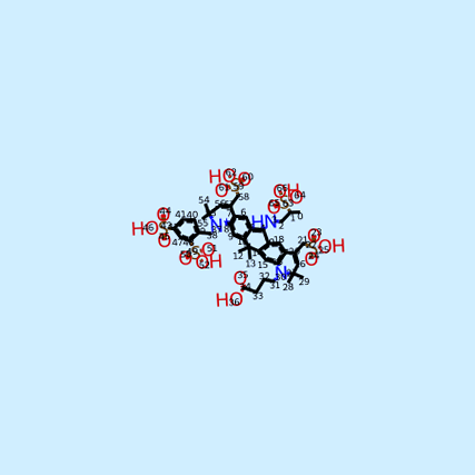 CC(CNC1=c2cc3c(cc2C(C)(C)c2cc4c(cc21)C(CS(=O)(=O)O)=CC(C)(C)N4CCCC(=O)O)=[N+](Cc1ccc(S(=O)(=O)O)cc1S(=O)(=O)O)C(C)(C)C=C3CS(=O)(=O)O)S(=O)(=O)O